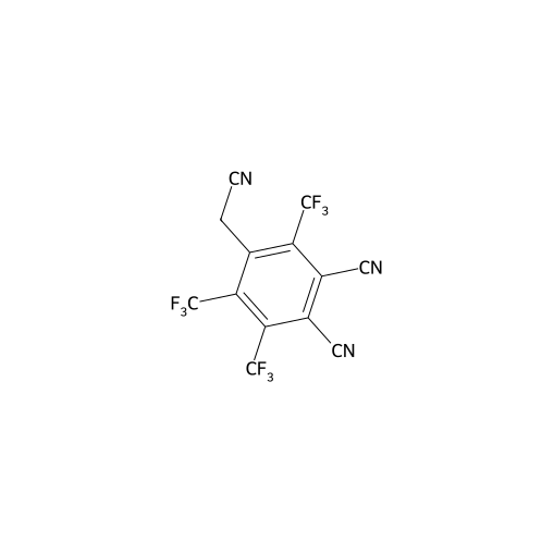 N#CCc1c(C(F)(F)F)c(C#N)c(C#N)c(C(F)(F)F)c1C(F)(F)F